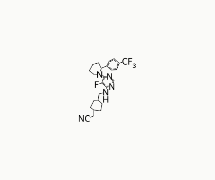 N#CCC1CCC(CNc2ncnc(N3CCCCC3c3ccc(C(F)(F)F)cc3)c2F)CC1